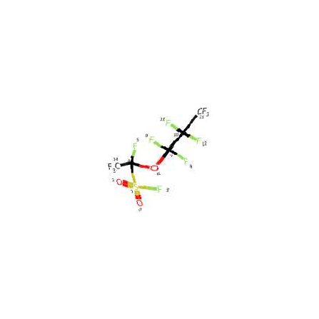 O=S(=O)(F)C(F)(OC(F)(F)C(F)(F)C(F)(F)F)C(F)(F)F